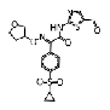 O=Cc1cnc(NC(=O)/C(=N/O[C@H]2CCOC2)c2ccc(S(=O)(=O)C3CC3)cc2)s1